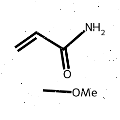 C=CC(N)=O.COC